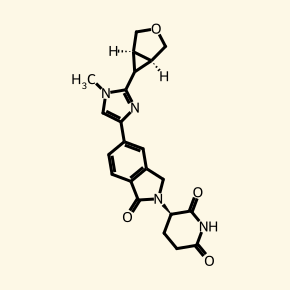 Cn1cc(-c2ccc3c(c2)CN([C@@H]2CCC(=O)NC2=O)C3=O)nc1C1[C@H]2COC[C@@H]12